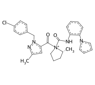 Cc1cc(C(=O)[N+]2(C(=O)Nc3ccccc3-n3cccc3)CCC[C@H]2C)n(Cc2ccc(Cl)cc2)n1